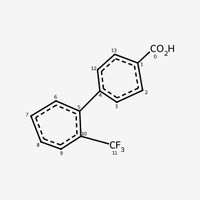 O=C(O)c1ccc(-c2ccccc2C(F)(F)F)cc1